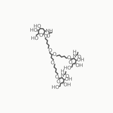 CC(=O)NC1CC(O)[C@@H](O)C(CO)O[C@H]1OCCCCCOCC(CCOCCCCCO[C@@H]1OC(CO)[C@H](O)C(O)C1NC(C)=O)OCCCCCO[C@@H]1OC(CO)[C@H](O)C(O)C1NC(C)=O